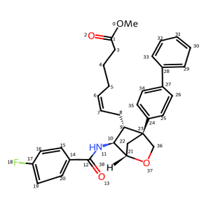 COC(=O)CCC/C=C\C[C@H]1[C@H](NC(=O)c2ccc(F)cc2)[C@@H]2C[C@@]1(c1ccc(-c3ccccc3)cc1)CO2